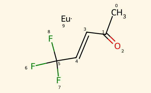 CC(=O)C=CC(F)(F)F.[Eu]